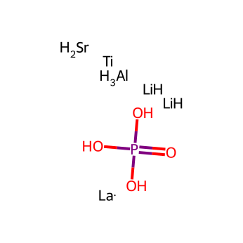 O=P(O)(O)O.[AlH3].[La].[LiH].[LiH].[SrH2].[Ti]